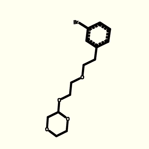 Brc1cccc(CCOCCOC2COCCO2)c1